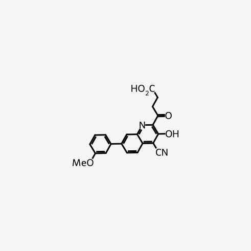 COc1cccc(-c2ccc3c(C#N)c(O)c(C(=O)CCC(=O)O)nc3c2)c1